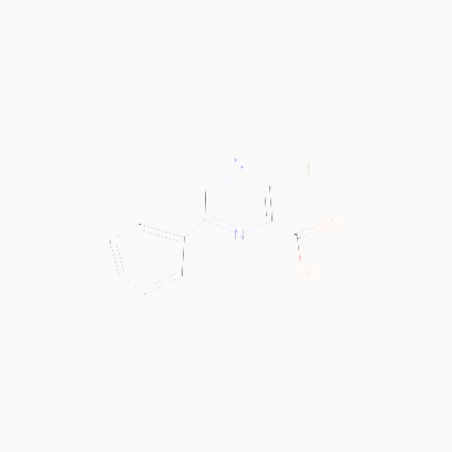 O=C(O)c1nc(-c2ccccc2)cnc1Cl